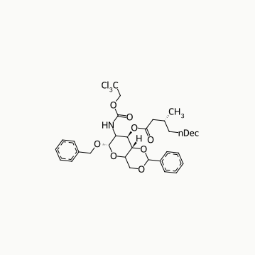 CCCCCCCCCCC[C@@H](C)CC(=O)O[C@@H]1C(NC(=O)OCC(Cl)(Cl)Cl)[C@@H](OCc2ccccc2)OC2COC(c3ccccc3)O[C@H]21